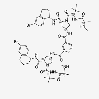 CN[C@@H](C)C(=O)N[C@H](C(=O)N1C[C@@H](NC(=O)c2cccc(C(=O)N[C@H]3C[C@@H](C(=O)NC4CCCc5cc(Br)ccc54)N(C(=O)[C@@H](NC(=O)[C@H](C)NC)C(C)(C)C)C3)c2)C[C@H]1C(=O)NC1CCCc2cc(Br)ccc21)C(C)(C)C